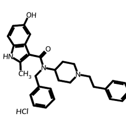 Cc1[nH]c2ccc(O)cc2c1C(=O)N(Cc1ccccc1)C1CCN(CCc2ccccc2)CC1.Cl